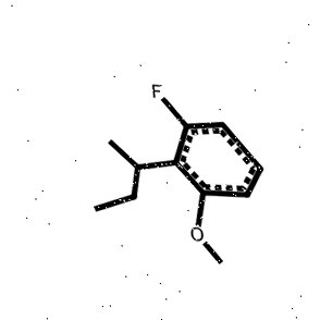 CCC(C)c1c(F)cccc1OC